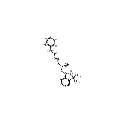 CC(C)(C)c1ccccc1OCC(O)CNCCNc1ccccn1